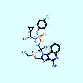 CCOCc1nc2c(N)nc3ccccc3c2n1C(C)(C)COP(=O)(N[C@@H](C)C1CC1)Oc1ccc(Cl)cc1